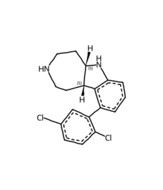 Clc1ccc(Cl)c(-c2cccc3c2[C@@H]2CCNCC[C@@H]2N3)c1